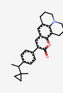 CC(c1ccc(-c2cc3cc4c5c(c3oc2=O)CCCN5CCC4)cc1)C1(C)CC1